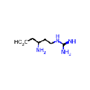 N=C(N)NCCC(N)CC(=O)O